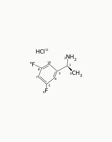 C[C@H](N)c1cc(F)cc(F)c1.Cl